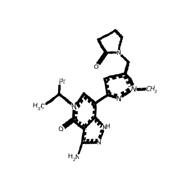 CC(C)C(C)n1cc(-c2cc(CN3CCCC3=O)n(C)n2)c2[nH]nc(N)c2c1=O